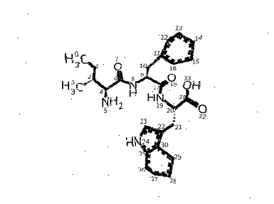 CC[C@H](C)[C@H](N)C(=O)N[C@@H](Cc1ccccc1)C(=O)N[C@@H](Cc1c[nH]c2ccccc12)C(=O)O